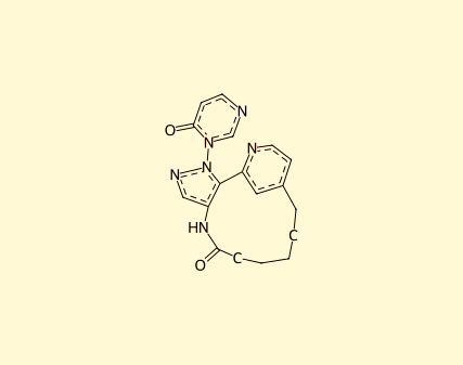 O=C1CCCCCc2ccnc(c2)-c2c(cnn2-n2cnccc2=O)N1